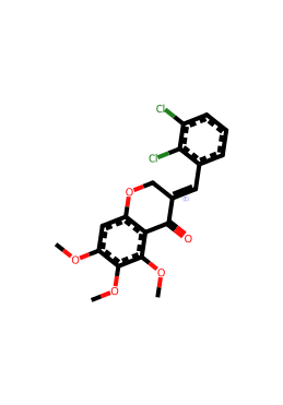 COc1cc2c(c(OC)c1OC)C(=O)/C(=C/c1cccc(Cl)c1Cl)CO2